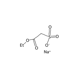 CCOC(=O)CS(=O)(=O)[O-].[Na+]